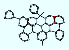 CCc1ccc(-c2ccccc2)cc1-c1ccccc1N1c2cc(C)cc3c2B2c4c(cccc4C(C)(c4ccccc4)c4cccc1c42)N3c1ccccc1-c1ccccn1